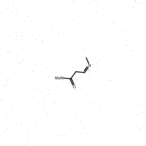 C/N=C\CC(=O)NC